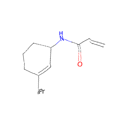 C=CC(=O)NC1C=C(C(C)C)CCC1